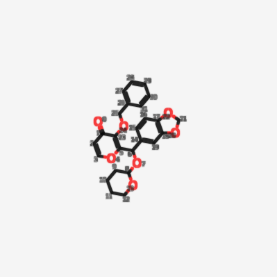 O=c1ccoc(C(OC2CCCCO2)c2ccc3c(c2)OCO3)c1OCc1ccccc1